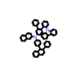 c1ccc(-c2cc(N(c3ccc(-c4c(-c5ccccc5)ccc5ccccc45)cc3)c3ccc4ccccc4c3)ccc2-c2ccccc2-n2c3ccccc3c3ccccc32)cc1